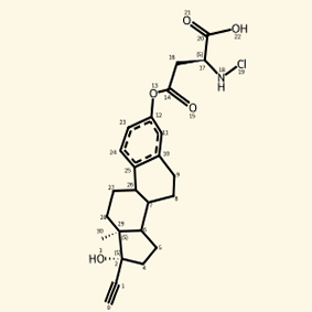 C#C[C@]1(O)CCC2C3CCc4cc(OC(=O)C[C@H](NCl)C(=O)O)ccc4C3CC[C@@]21C